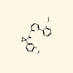 CCOc1ccccc1-c1cccc(NC(=O)C2(c3ccc4c(c3)OCO4)CC2)n1